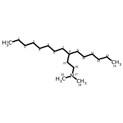 CCCCCCCCC(CCCCCC)CCN(C)C